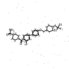 CCC(F)(CC)CN1CCC(COc2ccc(-c3ccc(C(=O)N4CCC(C(N)=O)CC4)c(F)c3)cc2)CC1